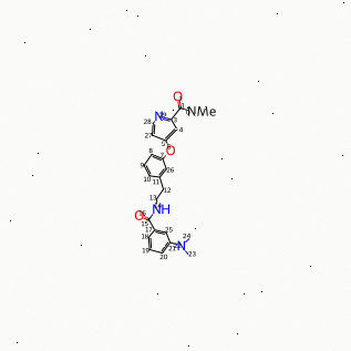 CNC(=O)c1cc(Oc2cccc(CCNC(=O)c3cccc(N(C)C)c3)c2)ccn1